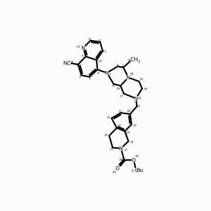 CC1CN(c2ccc(C#N)c3ncccc23)CC2CN(Cc3ccc4c(c3)CN(C(=O)OC(C)(C)C)CC4)CCN12